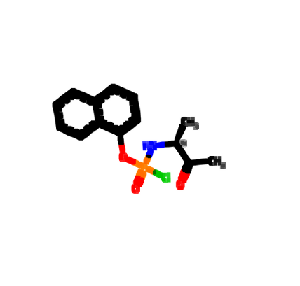 CC(=O)[C@H](C)NP(=O)(Cl)Oc1cccc2ccccc12